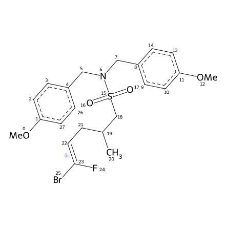 COc1ccc(CN(Cc2ccc(OC)cc2)S(=O)(=O)CC(C)C/C=C(\F)Br)cc1